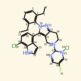 CCc1cccc(CC)c1-n1nc2c(c1-c1ccc(Cl)c3[nH]ccc13)CN(C1N=CC(F)=CN1Cl)CC2